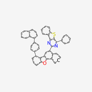 c1ccc(-c2nc(-c3cc4c(oc5cccc(-c6ccc(-c7cccc8ccccc78)cc6)c54)c4ccccc34)nc3c2sc2ccccc23)cc1